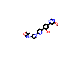 COc1cc(-c2ccc(-c3ccc(N4CC[C@H](NC5(C)COC5)C4)nn3)c(O)c2)ncn1